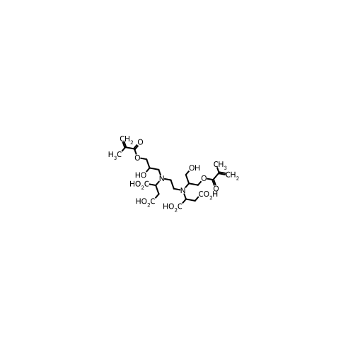 C=C(C)C(=O)OCC(O)CN(CCN(C(CO)COC(=O)C(=C)C)C(CC(=O)O)C(=O)O)C(CC(=O)O)C(=O)O